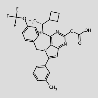 Cc1cccc(-c2cc3nc(OC(=O)O)nc(N[C@H](C)C4CCC4)c3n2Cc2ccc(OC(F)(F)F)cc2)c1